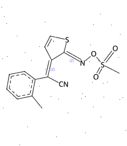 Cc1ccccc1/C(C#N)=C1\C=CS\C1=N/OS(C)(=O)=O